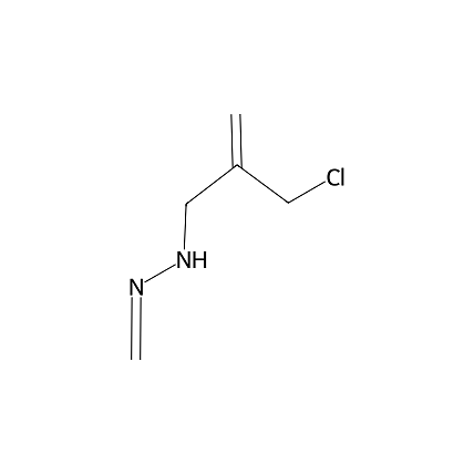 C=NNCC(=C)CCl